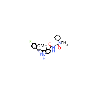 COc1c(C(=O)NCC(=O)N(C)C2CCCCC2)ccc2[nH]nc(/C=C/c3ccc(F)cc3)c12